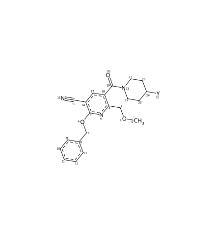 COCc1nc(OCc2ccccc2)c(C#N)cc1C(=O)N1CC[CH]([Y])CC1